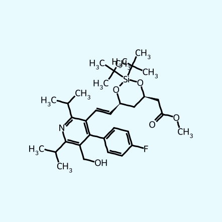 COC(=O)C[C@H]1C[C@@H](/C=C/c2c(C(C)C)nc(C(C)C)c(CO)c2-c2ccc(F)cc2)O[Si](C(C)(C)C)(C(C)(C)C)O1